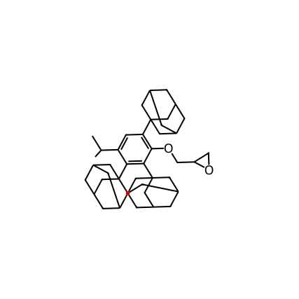 CC(C)c1cc(C23CC4CC(CC(C4)C2)C3)c(OCC2CO2)c(C23CC4CC(CC(C4)C2)C3)c1C12CC3CC(CC(C3)C1)C2